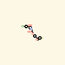 OC(COc1ccc(-c2occ3cc(F)ccc23)cc1)CN1CCC(O)(c2ccc(Cl)cc2)CC1